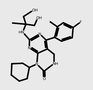 Cc1cc(F)ccc1-c1nc(NC(C)(CO)CO)nc2c1CNC(=O)N2C1CCCCC1